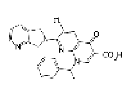 CC(c1ccccc1)n1cc(C(=O)O)c(=O)c2cc(Cl)c(N3Cc4cccnc4C3)nc21